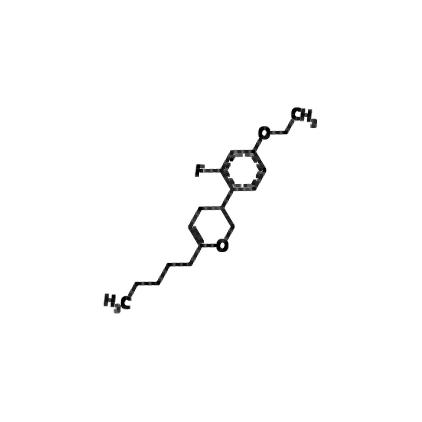 CCCCCC1=CCC(c2ccc(OCC)cc2F)CO1